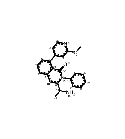 COc1cc(-c2cccc3cc(C(C)N)n(-c4ccccc4)c(=O)c23)ccn1